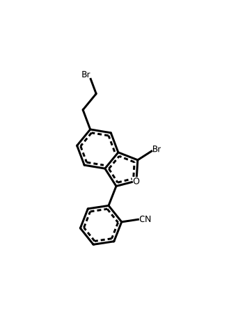 N#Cc1ccccc1-c1oc(Br)c2cc(CCBr)ccc12